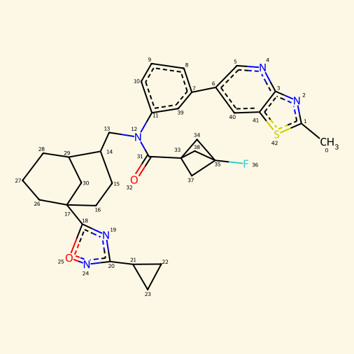 Cc1nc2ncc(-c3cccc(N(CC4CCC5(c6nc(C7CC7)no6)CCCC4C5)C(=O)C45CC(F)(C4)C5)c3)cc2s1